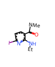 CCNc1nc(I)ccc1C(=O)NC